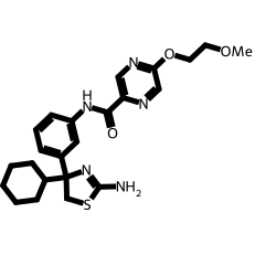 COCCOc1cnc(C(=O)Nc2cccc(C3(C4CCCCC4)CSC(N)=N3)c2)cn1